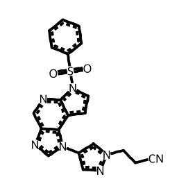 N#CCCn1cc(-n2cnc3cnc4c(ccn4S(=O)(=O)c4ccccc4)c32)cn1